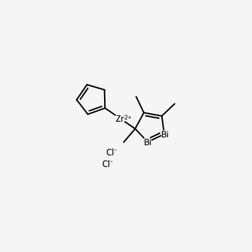 C[C]1=C(C)[C](C)([Zr+2][C]2=CC=CC2)[Bi]=[Bi]1.[Cl-].[Cl-]